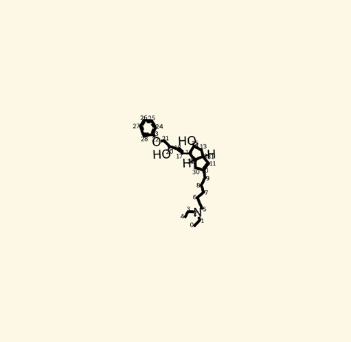 CCN(CC)CCCCCC1=C[C@H]2C[C@@H](O)[C@H](/C=C/[C@@H](O)COc3ccccc3)[C@H]2C1